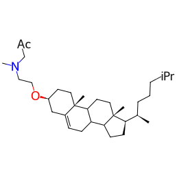 CC(=O)CN(C)CCO[C@H]1CC[C@@]2(C)C(=CCC3C2CC[C@@]2(C)C3CC[C@@H]2[C@H](C)CCCC(C)C)C1